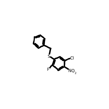 O=[N+]([O-])c1cc(F)c(SCc2ccccc2)cc1Cl